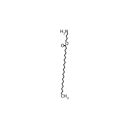 CCCCCCCCCCCCCCCCCCCCCC(=O)OCCCCN